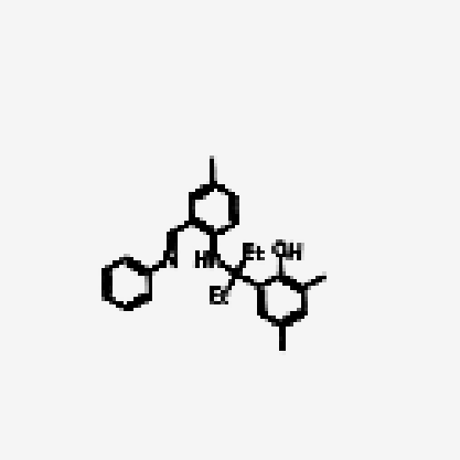 CCC(CC)(Pc1ccc(C)cc1/C=N/c1ccccc1)c1cc(C)cc(C)c1O